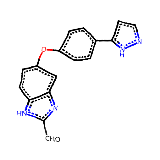 O=Cc1nc2cc(Oc3ccc(-c4ccn[nH]4)cc3)ccc2[nH]1